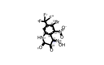 O=C1Nc2cc(C(F)(F)F)c(Br)c([N+](=O)[O-])c2/C(=N/O)C1=O